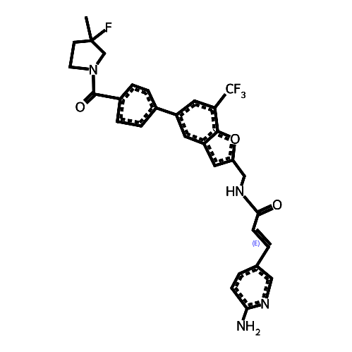 CC1(F)CCN(C(=O)c2ccc(-c3cc(C(F)(F)F)c4oc(CNC(=O)/C=C/c5ccc(N)nc5)cc4c3)cc2)C1